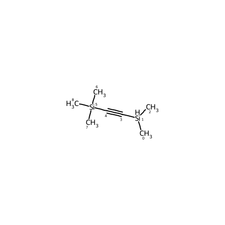 C[SiH](C)C#C[Si](C)(C)C